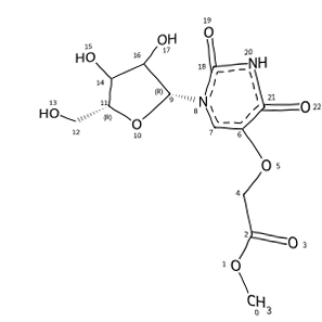 COC(=O)COc1cn([C@@H]2O[C@H](CO)C(O)C2O)c(=O)[nH]c1=O